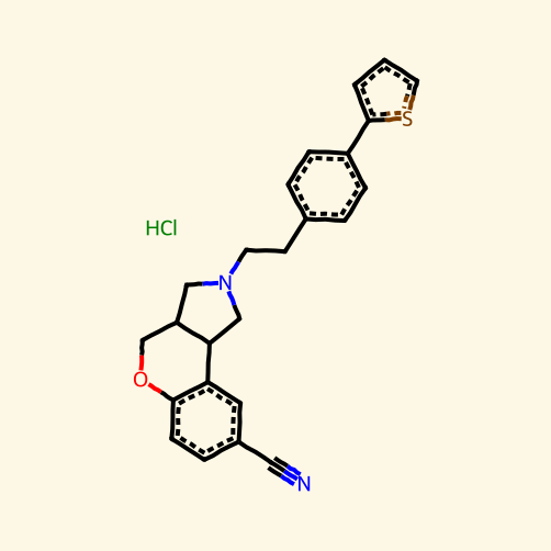 Cl.N#Cc1ccc2c(c1)C1CN(CCc3ccc(-c4cccs4)cc3)CC1CO2